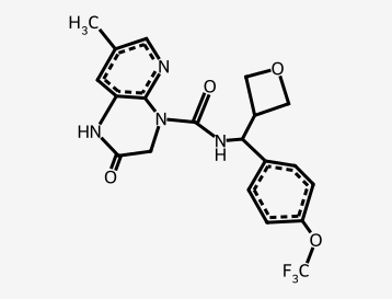 Cc1cnc2c(c1)NC(=O)CN2C(=O)NC(c1ccc(OC(F)(F)F)cc1)C1COC1